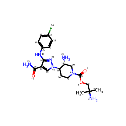 CC(C)(N)COC(=O)N1CC[C@@H](n2cc(C(N)=O)c(Nc3ccc(F)cc3)n2)[C@H](N)C1